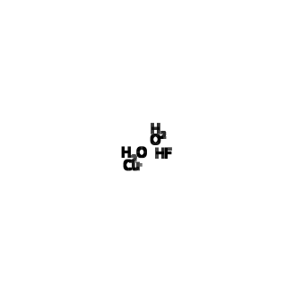 F.O.O.[Cu]